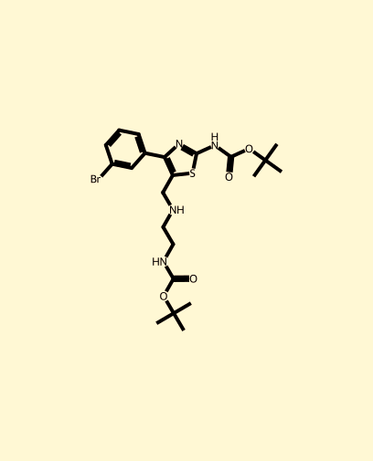 CC(C)(C)OC(=O)NCCNCc1sc(NC(=O)OC(C)(C)C)nc1-c1cccc(Br)c1